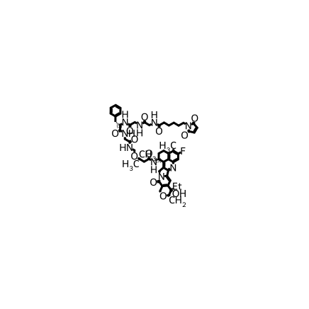 C=C1OCc2c(cc3n(c2=O)Cc2c-3nc3cc(F)c(C)c4c3c2[C@@H](NC(=O)CC(C)(C)OCNC(=O)CNC(=O)[C@H](Cc2ccccc2)NC(=O)CNC(=O)CNC(=O)CCCCCN2C(=O)C=CC2=O)CC4)[C@@]1(O)CC